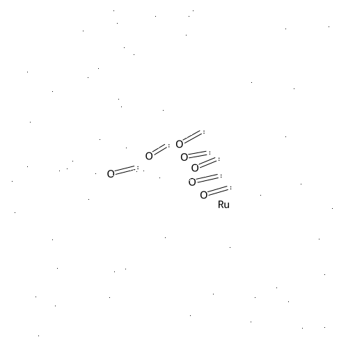 [C]=O.[C]=O.[C]=O.[C]=O.[C]=O.[C]=O.[C]=O.[Ru]